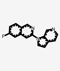 Fc1ccc2cnc(-n3ccc4ccncc43)cc2c1